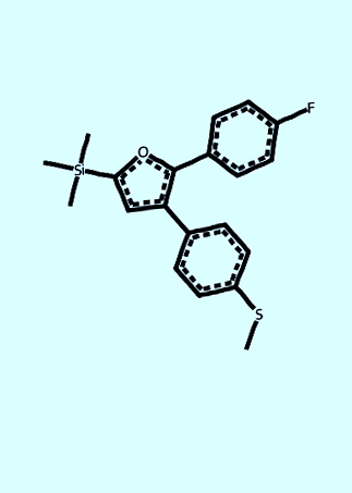 CSc1ccc(-c2cc([Si](C)(C)C)oc2-c2ccc(F)cc2)cc1